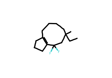 CCC1(C)CCCCC2=C(CCC2)C(F)(F)C1